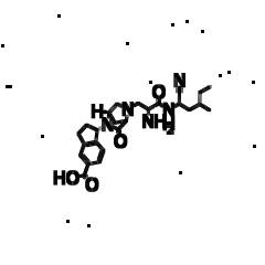 CCC(C)CC(C#N)NC(=O)C(N)CN1C[C@@H]2CC1C(=O)N2[C@H]1CCc2cc(C(=O)O)ccc21